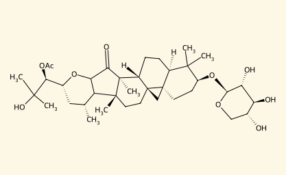 CC(=O)O[C@@H]([C@H]1C[C@@H](C)C2C(O1)C(=O)[C@@]1(C)[C@@H]3CC[C@H]4C(C)(C)[C@@H](O[C@@H]5OC[C@@H](O)[C@H](O)[C@H]5O)CC[C@@]45C[C@@]35CC[C@]21C)C(C)(C)O